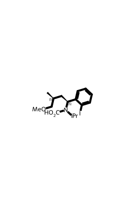 COC[C@@H](C)C[C@@H](c1ccccc1I)N(C(=O)O)C(C)C